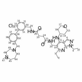 CCc1nc2c(cnn2CC)c(NC2CCOCC2)c1CNC(=O)CCC(=O)NCc1ccc(Cl)c(-c2cccc(CN3CCCN(C)CC3)c2)c1